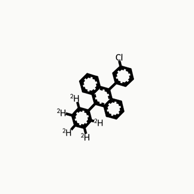 [2H]c1c([2H])c([2H])c(-c2c3ccccc3c(-c3cccc(Cl)c3)c3ccccc23)c([2H])c1[2H]